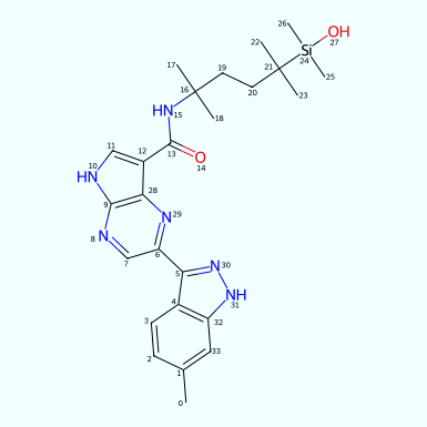 Cc1ccc2c(-c3cnc4[nH]cc(C(=O)NC(C)(C)CCC(C)(C)[Si](C)(C)O)c4n3)n[nH]c2c1